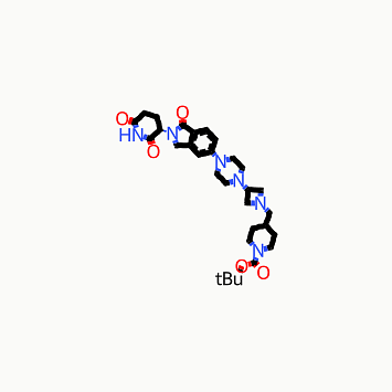 CC(C)(C)OC(=O)N1CCC(CN2CC(N3CCN(c4ccc5c(c4)CN([C@H]4CCC(=O)NC4=O)C5=O)CC3)C2)CC1